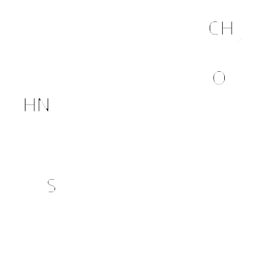 COc1cc2c(c3ccccc13)SCN2